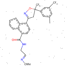 CO/N=C/CNC(=O)c1ccc(C2=NOC(c3cc(C)cc(C(F)(F)F)c3)(C(F)(F)F)C2)c2ccccc12